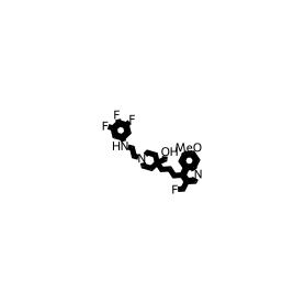 COc1ccc2ncc(CF)c(CCCC3(CO)CCN(CCNc4cc(F)c(F)c(F)c4)CC3)c2c1